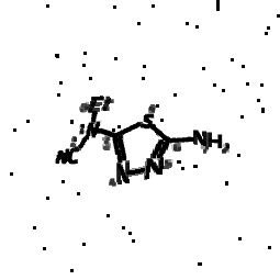 CCN(C#N)c1nnc(N)s1